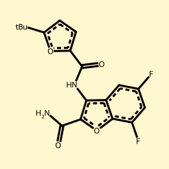 CC(C)(C)c1ccc(C(=O)Nc2c(C(N)=O)oc3c(F)cc(F)cc23)o1